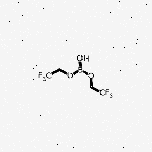 OB(OCC(F)(F)F)OCC(F)(F)F